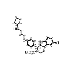 CCOC(=O)N1CCC2c3cc(Cl)ccc3NC2[C@@H]1c1ccc(OCCCNC2CCCC2)cc1